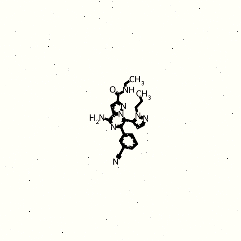 CCCn1nccc1-c1c(-c2cccc(C#N)c2)nc(N)c2cc(C(=O)NCC)nn12